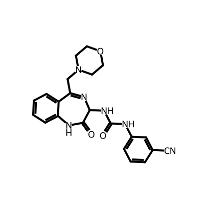 N#Cc1cccc(NC(=O)NC2N=C(CN3CCOCC3)c3ccccc3NC2=O)c1